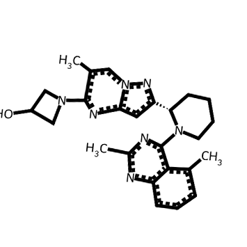 Cc1nc(N2CCCC[C@H]2c2cc3nc(N4CC(O)C4)c(C)cn3n2)c2c(C)cccc2n1